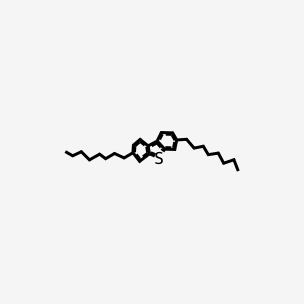 CCCCCCCCc1ccc2c(c1)sc1cc(CCCCCCCC)ccc12